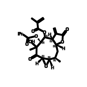 C=C(C)C(=O)O[C@H]1[C@H]2C(=C)C(=O)O[C@@H]2C[C@@H](C)[C@@H]2O[C@@H]2C(=O)C(C)(O)[C@@H]1OC(=O)C(C)C